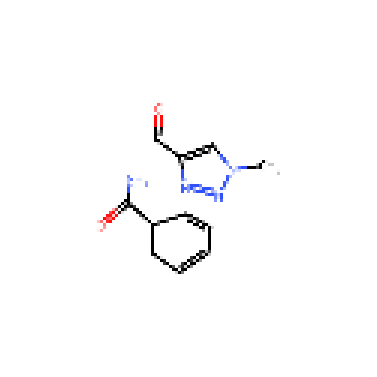 Cn1cc(C=O)nn1.NC(=O)C1C=CC=CC1